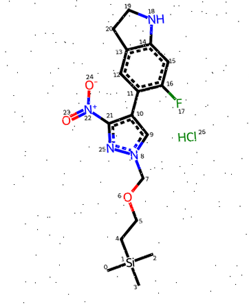 C[Si](C)(C)CCOCn1cc(-c2cc3c(cc2F)NCC3)c([N+](=O)[O-])n1.Cl